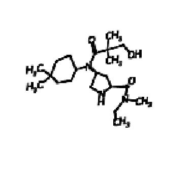 CCN(C)C(=O)[C@@H]1C[C@H](N(C(=O)C(C)(C)CO)C2CCC(C)(C)CC2)CN1